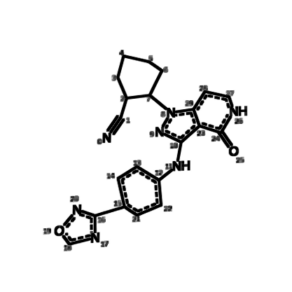 N#CC1CCCCC1n1nc(Nc2ccc(-c3ncon3)cc2)c2c(=O)[nH]ccc21